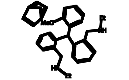 C1=CC2=CC=C1C2.CCNCc1ccccc1C(c1ccccc1CNCC)c1ccccc1OC